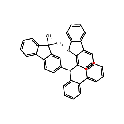 CC1(C)c2ccccc2-c2ccc(N(c3ccccc3-c3ccccc3)c3cccc4c3oc3ccccc34)cc21